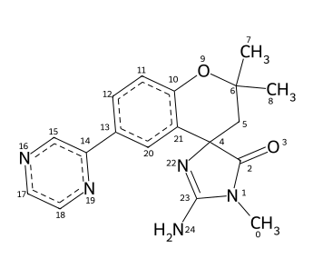 CN1C(=O)C2(CC(C)(C)Oc3ccc(-c4cnccn4)cc32)N=C1N